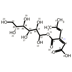 CC(C)=C/C(=C/C(=O)O)C(=O)OC(O)[C@H](O)[C@@H](O)[C@H](O)[C@H](O)CO